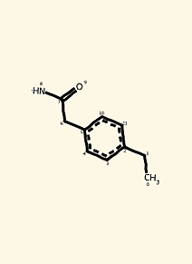 CCc1ccc(CC([NH])=O)cc1